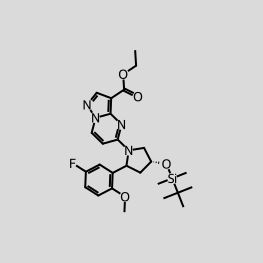 CCOC(=O)c1cnn2ccc(N3C[C@H](O[Si](C)(C)C(C)(C)C)CC3c3cc(F)ccc3OC)nc12